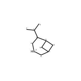 CC(C)C1CNCC2CC1C2